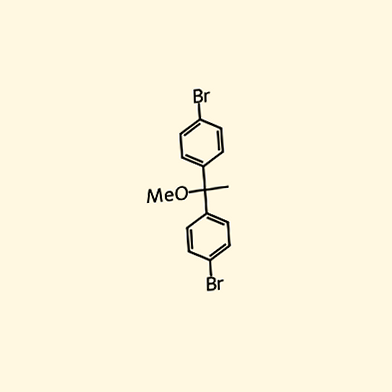 COC(C)(c1ccc(Br)cc1)c1ccc(Br)cc1